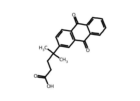 CC(C)(CCC(=O)O)c1ccc2c(c1)C(=O)c1ccccc1C2=O